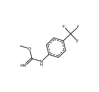 COC(=N)Nc1ccc(C(F)(F)F)cc1